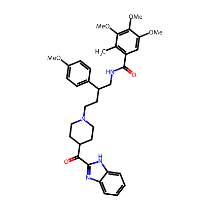 COc1ccc(C(CCN2CCC(C(=O)c3nc4ccccc4[nH]3)CC2)CNC(=O)c2cc(OC)c(OC)c(OC)c2C)cc1